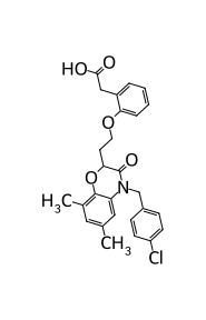 Cc1cc(C)c2c(c1)N(Cc1ccc(Cl)cc1)C(=O)C(CCOc1ccccc1CC(=O)O)O2